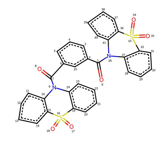 O=C(c1cccc(C(=O)N2c3ccccc3S(=O)(=O)c3ccccc32)c1)N1c2ccccc2S(=O)(=O)c2ccccc21